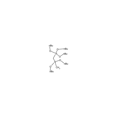 CCCCO[Si](C)(C[Si](OCCCC)(OCCCC)OCCCC)OCCCC